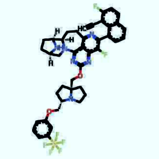 C#Cc1c(F)ccc2cccc(-c3nc4c5c(nc(OC[C@@]67CCCN6[C@H](COc6cccc(S(F)(F)(F)(F)F)c6)CC7)nc5c3F)N3C[C@H]5CC[C@H](N5)[C@H]3CC4)c12